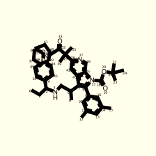 CCC(NCC(C)c1c(-c2cc(C)cc(C)c2)n(C(=O)OC(C)(C)C)c2cnc(C(C)(C)C(=O)N3CC4CCC3CC4)cc12)c1cc[n+]([O-])cc1